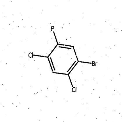 Fc1cc(Br)c(Cl)cc1Cl